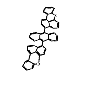 c1ccc2c(c1)Sc1ccc(-c3c4ccccc4c(-c4ccc5c6c(cccc46)Sc4ccccc4-5)c4ccccc34)c3cccc-2c13